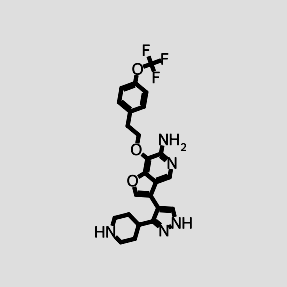 Nc1ncc2c(-c3c[nH]nc3C3CCNCC3)coc2c1OCCc1ccc(OC(F)(F)F)cc1